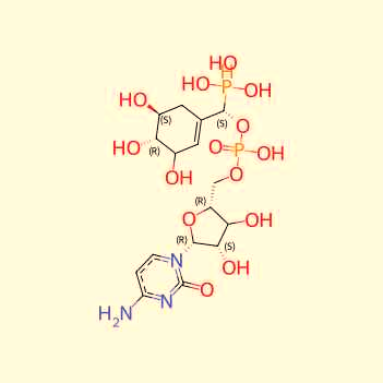 Nc1ccn([C@@H]2O[C@H](COP(=O)(O)O[C@H](C3=CC(O)[C@H](O)[C@@H](O)C3)[PH](O)(O)O)C(O)[C@@H]2O)c(=O)n1